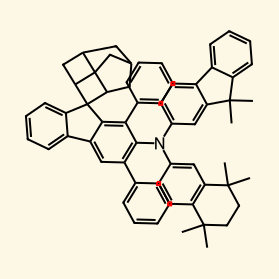 CC1(C)CCC(C)(C)c2cc(N(c3ccc4c(c3)C(C)(C)c3ccccc3-4)c3c(-c4ccccc4)cc4c(c3-c3ccccc3)C3(c5ccccc5-4)C4CC5CC6CC3C64C5)ccc21